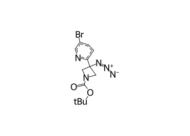 CC(C)(C)OC(=O)N1CC(N=[N+]=[N-])(c2ccc(Br)cn2)C1